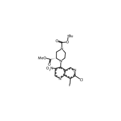 COC(=O)[C@@H]1CN(C(=O)OC(C)(C)C)CCN1c1c([N+](=O)[O-])cnc2c(F)c(Cl)ncc12